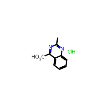 Cc1nc(C(=O)O)c2ccccc2n1.Cl